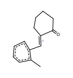 Cc1ccccc1/C=C1\CCCCC1=O